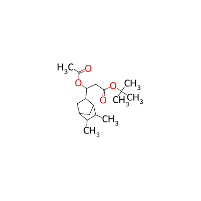 CC(=O)OC(CC(=O)OC(C)(C)C)C1CC2CC1C(C)C2C